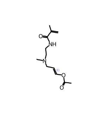 C=C(C)C(=O)NCCN(C)C/C=C/OC(C)=O